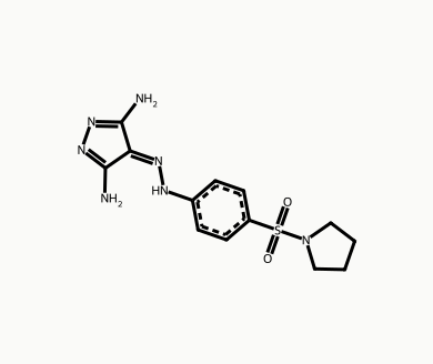 NC1=NN=C(N)C1=NNc1ccc(S(=O)(=O)N2CCCC2)cc1